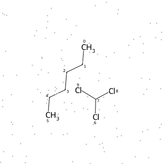 CCCCCC.ClC(Cl)Cl